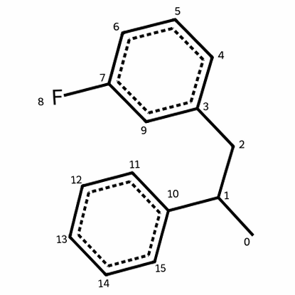 CC(Cc1cccc(F)c1)c1ccccc1